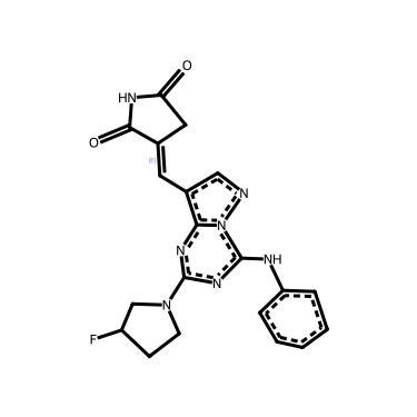 O=C1C/C(=C\c2cnn3c(Nc4ccccc4)nc(N4CCC(F)C4)nc23)C(=O)N1